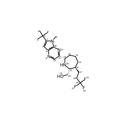 Cn1c(C(C)(C)C)cc2ncc([C@@H]3CCC[C@@H](CCC(F)(F)F)[C@H](CO)N3)nc21